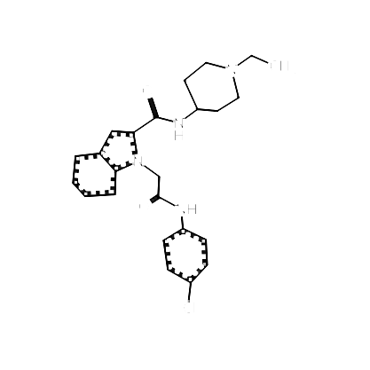 CCN1CCC(NC(=O)c2cc3ccccc3n2CC(=O)Nc2ccc(Cl)cc2)CC1